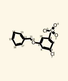 O=S(=O)(Cl)c1cc(Cl)cc(OCc2ccccc2)c1